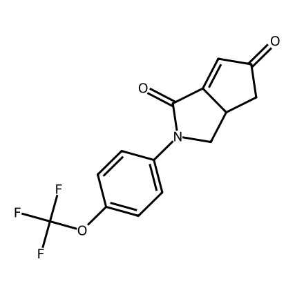 O=C1C=C2C(=O)N(c3ccc(OC(F)(F)F)cc3)CC2C1